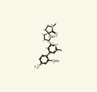 COc1cc(C(F)(F)F)ccc1-c1cc(C)nc([C@H]2CC[C@]3(CCN(C)C3=O)N2)c1